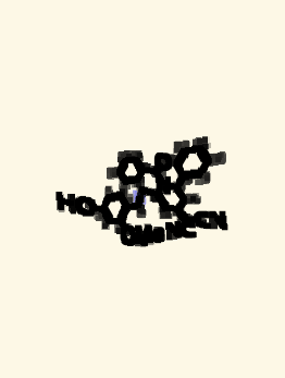 COc1cc(O)ccc1/C=C/C1=CC(=C(C#N)C#N)CC(c2ccccc2)N1C(=O)c1ccccc1